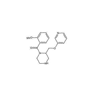 COc1ccccc1C(=O)N1CCNCC1COc1cccnc1